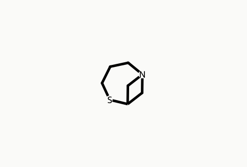 C1CSC2CN(C1)C2